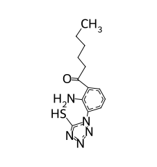 CCCCCC(=O)c1cccc(-n2nnnc2S)c1N